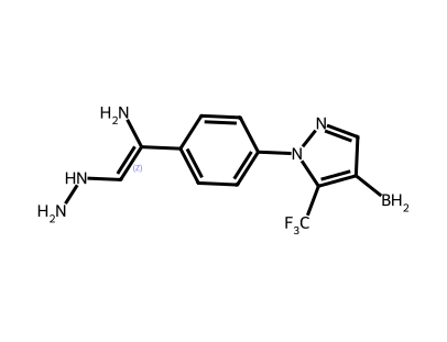 Bc1cnn(-c2ccc(/C(N)=C/NN)cc2)c1C(F)(F)F